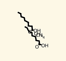 C.C.CCCCCCCCC(=O)O.CCCCCCCCC(=O)O